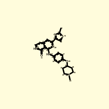 Cc1nc(-c2cc3cc[nH]c(=O)c3c(Nc3ccc(OC4CCN(C)CC4)cc3)n2)cs1